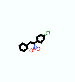 O=[N+]([O-])C(=Cc1ccccc1)c1ccc(Cl)cc1